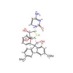 COc1ccc(C(c2ccccc2)(c2ccc(OC)cc2)C(O)[C@H]2S[C@@H](n3ccc(N)nc3=O)[C@H](O)[C@@H]2O)cc1